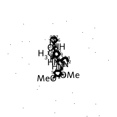 COC1=CC(OC)CC=C1CNc1ncccc1C(=N)c1ccc(C(=O)Nc2ccccn2)c(C)c1F